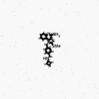 CSc1nc2c(N)nc3ccccc3c2n1Cc1ccc(CNC2CCC2)cc1